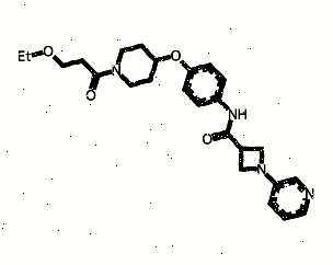 CCOCCC(=O)N1CCC(Oc2ccc(NC(=O)C3CN(c4cccnc4)C3)cc2)CC1